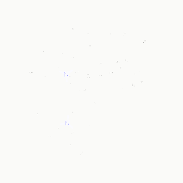 c1ccc(N(c2ccc3c(c2)c2ccccc2n3-c2ccccc2)c2cc3c(c4ccccc24)-c2ccc4ccccc4c2C32c3ccccc3-c3ccccc32)cc1